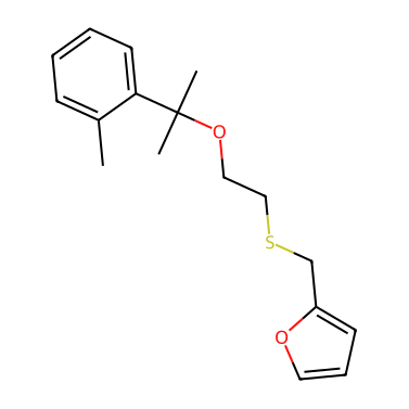 Cc1ccccc1C(C)(C)OCCSCc1ccco1